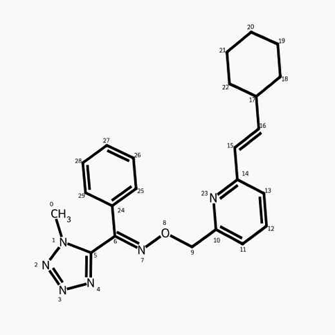 Cn1nnnc1/C(=N/OCc1cccc(/C=C/C2CCCCC2)n1)c1ccccc1